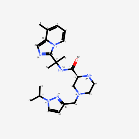 Cc1cccn2c(C(C)(C)NC(=O)[C@@H]3CN(Cc4ccn(C(C)C)n4)CCN3)ncc12